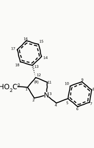 O=C(O)C1CN(Cc2ccccc2)C[C@H]1c1ccccc1